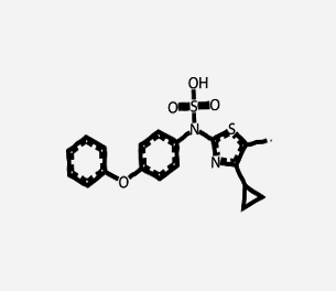 [CH2]c1sc(N(c2ccc(Oc3ccccc3)cc2)S(=O)(=O)O)nc1C1CC1